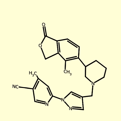 Cc1cc(-n2cc(CN3CCCC(c4ccc5c(c4C)COC5=O)C3)cn2)ncc1C#N